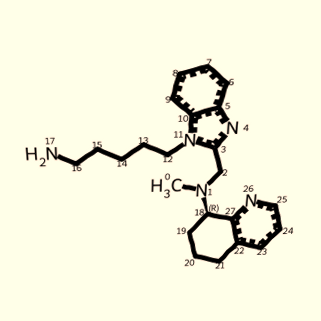 CN(Cc1nc2ccccc2n1CCCCCN)[C@@H]1CCCc2cccnc21